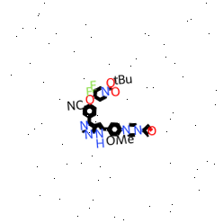 COc1cc(-c2cc3c(-c4ccc(OC5CCN(C(=O)OC(C)(C)C)CC5(F)F)c(C#N)c4)ncnc3[nH]2)ccc1N1CCN(C2COC2)CC1